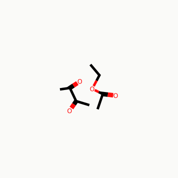 CC(=O)C(C)=O.CCOC(C)=O